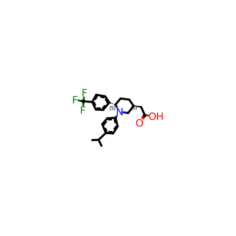 CC(C)c1ccc(N2C[C@H](CC(=O)O)CC[C@H]2c2ccc(C(F)(F)F)cc2)cc1